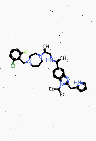 C=C(NCC(=C)N1CCCN(Cc2c(F)cccc2Cl)CC1)c1ccc2c(c1)nc(Cc1ccc[nH]1)n2C(CC)CC